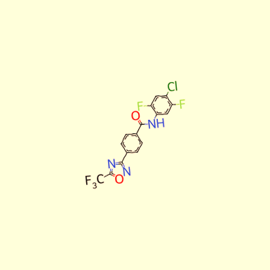 O=C(Nc1cc(F)c(Cl)cc1F)c1ccc(-c2noc(C(F)(F)F)n2)cc1